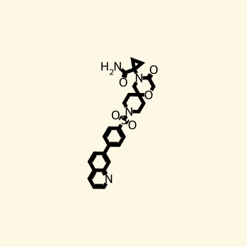 NC(=O)C1(N2CC3(CCN(S(=O)(=O)c4ccc(-c5ccc6cccnc6c5)cc4)CC3)OCC2=O)CC1